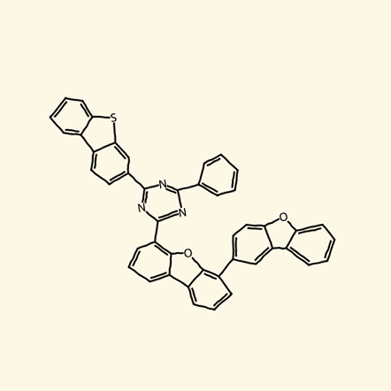 c1ccc(-c2nc(-c3ccc4c(c3)sc3ccccc34)nc(-c3cccc4c3oc3c(-c5ccc6oc7ccccc7c6c5)cccc34)n2)cc1